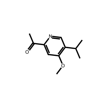 COc1cc(C(C)=O)ncc1C(C)C